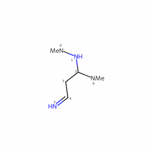 CNNC(CC=N)NC